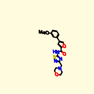 COc1cccc(-c2coc(C(=O)Nc3nc(CN4CCOCC4)ns3)c2)c1